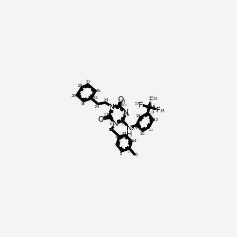 Cc1ccc(Cn2c(Nc3cccc(C(F)(F)F)c3)nc(=O)n(CCc3ccccc3)c2=O)cc1